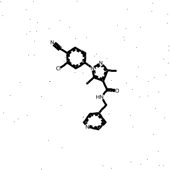 Cc1nn(-c2ccc(C#N)c(Cl)c2)c(C)c1C(=O)NCc1ccncc1